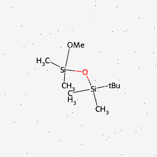 CO[Si](C)(C)O[Si](C)(C)C(C)(C)C